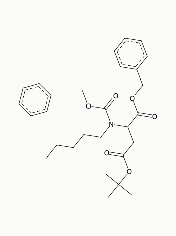 CCCCCN(C(=O)OC)C(CC(=O)OC(C)(C)C)C(=O)OCc1ccccc1.c1ccccc1